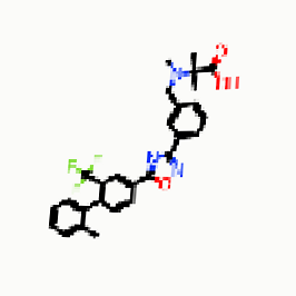 Cc1ccccc1-c1ccc(-c2nc(-c3cccc(CN(C)C(C)(C)C(=O)O)c3)no2)cc1C(F)(F)F